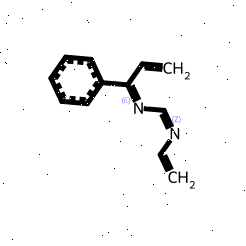 C=C/N=C\N=C(/C=C)c1ccccc1